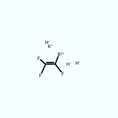 [B+2]C(F)=C(F)F.[H-].[H-].[H-].[K+]